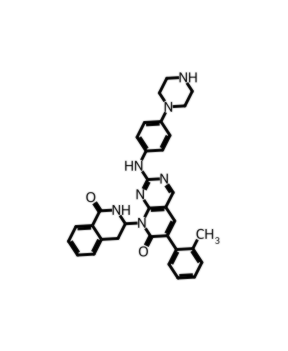 Cc1ccccc1-c1cc2cnc(Nc3ccc(N4CCNCC4)cc3)nc2n(C2Cc3ccccc3C(=O)N2)c1=O